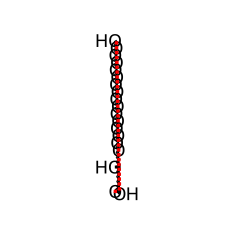 O=C(O)CCCCCCCCCC(O)CCCCCCOCCOCCOCCOCCOCCOCCOCCOCCOCCOCCOCCOCCOCCOCCOCCO